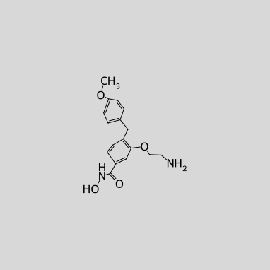 COc1ccc(Cc2ccc(C(=O)NO)cc2OCCN)cc1